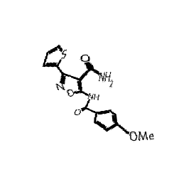 COc1ccc(C(=O)Nc2onc(-c3cccs3)c2C(N)=O)cc1